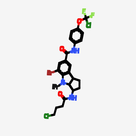 CC(C)N1c2c(Br)cc(C(=O)Nc3ccc(OC(F)(F)Cl)cc3)cc2C2CCC(NC(=O)CCCCl)C21